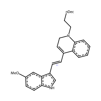 CCCCCCCCCCCCN1CC=C(/C=C/c2c[nH]c3ccc(OC)cc23)c2ccccc21